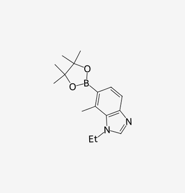 CCn1cnc2ccc(B3OC(C)(C)C(C)(C)O3)c(C)c21